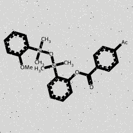 COc1ccccc1[Si](C)(C)O[Si](C)(C)c1ccccc1OC(=O)c1ccc(C(C)=O)cc1